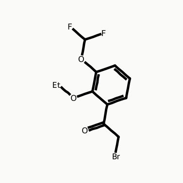 CCOc1c(OC(F)F)cccc1C(=O)CBr